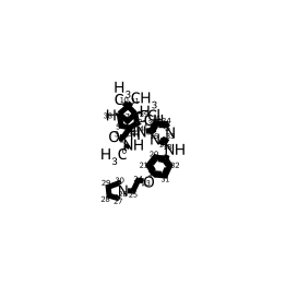 CNC(=O)[C@H]1C[C@H]2C[C@H](C2(C)C)[C@@]1(C)Nc1nc(Nc2ccc(OCCN3CCCC3)cc2)ncc1Cl